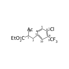 CCOC(=O)C(Cc1ccc(Cl)c(C(F)(F)F)c1)C(C)=O